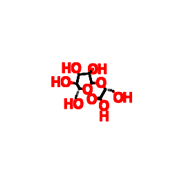 O=C(O)[C@@H](CO)O[C@H]1O[C@H](CO)[C@@H](O)[C@H](O)[C@H]1O